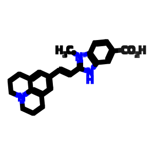 C[n+]1c(/C=C/c2cc3c4c(c2)CCCN4CCC3)[nH]c2cc(C(=O)O)ccc21